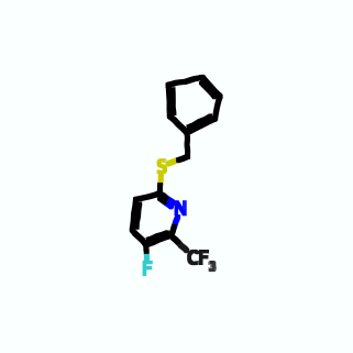 Fc1ccc(SCc2ccccc2)nc1C(F)(F)F